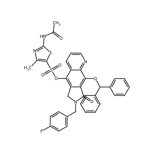 CC(=O)Nc1nc(C)c(S(=O)(=O)Oc2c3c(c(OC(c4ccccc4)c4ccccc4)c4ncccc24)C(=O)N(Cc2ccc(F)cc2)C3)s1